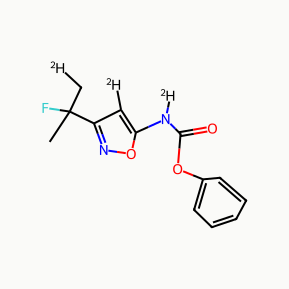 [2H]CC(C)(F)c1noc(N([2H])C(=O)Oc2ccccc2)c1[2H]